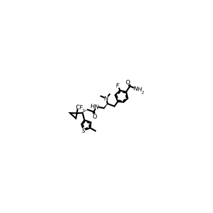 Cc1cc([C@@H](CC(=O)NC[C@H](Cc2ccc(C(N)=O)c(F)c2)N(C)C)C2(C(F)(F)F)CC2)cs1